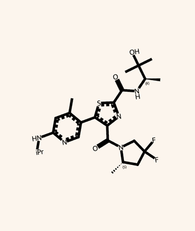 Cc1cc(NC(C)C)ncc1-c1sc(C(=O)N[C@H](C)C(C)(C)O)nc1C(=O)N1CC(F)(F)C[C@@H]1C